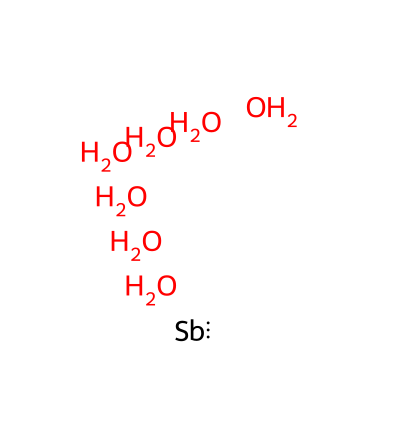 O.O.O.O.O.O.O.[Sb]